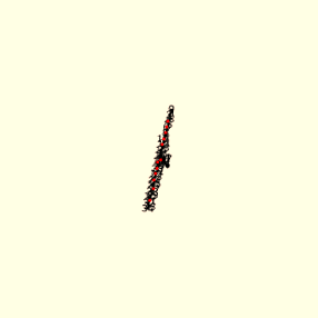 CCCCCCCCCCCCCCCCCC(CCCCCCCCCCCCCCCCC)N(C)C